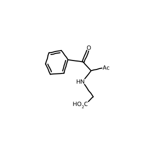 CC(=O)C(NCC(=O)O)C(=O)c1ccccc1